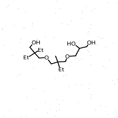 CCC(C)(COCC(O)CO)COCC(CC)(CC)CO